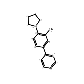 N#Cc1cc(-c2ccncn2)ccc1N1CCCC1